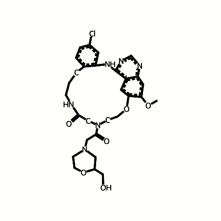 COc1cc2ncnc3c2cc1OCCN(C(=O)CN1CCOC(CO)C1)CC(=O)NCCCc1ccc(Cl)cc1N3